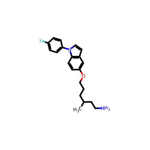 CC(CCN)CCCOc1ccc2c(ccn2-c2ccc(F)cc2)c1